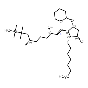 C[C@H](CCC[C@H](O)/C=C/[C@@H]1[C@@H](CCCCCCC(=O)O)[C@H](Cl)C[C@H]1OC1CCCCO1)CC(C)(C)[Si](C)(C)O